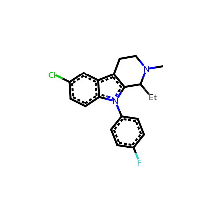 CCC1c2c(c3cc(Cl)ccc3n2-c2ccc(F)cc2)CCN1C